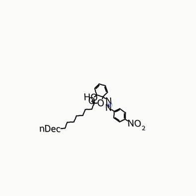 CCCCCCCCCCCCCCCCCC(=O)OC1(/N=N/c2ccc([N+](=O)[O-])cc2)C=CC=CC1O